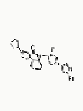 CCn1cc(-c2ccc(CN3C(=O)C4(CCN(C5CCCC5)C4)c4ccccc43)c(F)c2)cn1